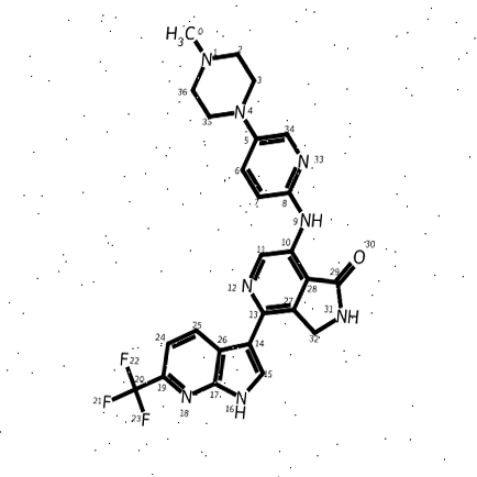 CN1CCN(c2ccc(Nc3cnc(-c4c[nH]c5nc(C(F)(F)F)ccc45)c4c3C(=O)NC4)nc2)CC1